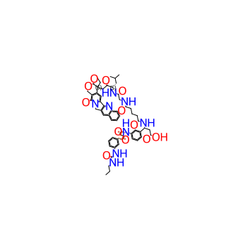 CCCNC(=O)Nc1cccc(S(=O)(=O)Nc2cccc(C(CC(=O)O)NC(=O)CCCC(=O)NCC(=O)N[C@@H](CC(C)C)C(=O)C[C@]3(CC)C(=O)OCc4c3cc3n(c4=O)Cc4cc5ccccc5nc4-3)c2)c1